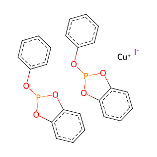 [Cu+].[I-].c1ccc(OP2Oc3ccccc3O2)cc1.c1ccc(OP2Oc3ccccc3O2)cc1